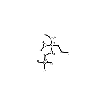 CCC[Si](OC)(OC)OC[N+](C)(C)C